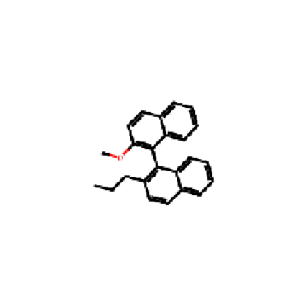 CCCc1ccc2ccccc2c1-c1c(OC)ccc2ccccc12